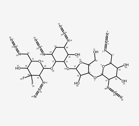 [N-]=[N+]=NCC1OC(OC2C(CO)OC(OC3C(O)C(N=[N+]=[N-])CC(N=[N+]=[N-])C3OC3OC(CN=[N+]=[N-])C(O)C(F)(F)C3N=[N+]=[N-])C2O)C(N=[N+]=[N-])C(O)C1O